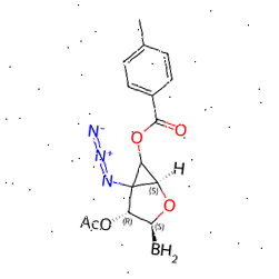 B[C@@H]1O[C@@H]2C(OC(=O)c3ccc(C)cc3)C2(N=[N+]=[N-])[C@H]1OC(C)=O